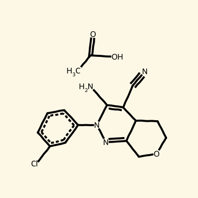 CC(=O)O.N#CC1=C(N)N(c2cccc(Cl)c2)N=C2COCCC21